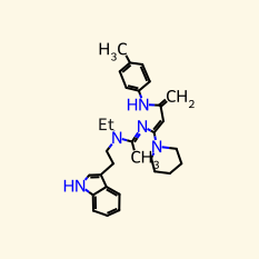 C=C(/C=C(\N=C(/C)N(CC)CCc1c[nH]c2ccccc12)N1CCCCC1)Nc1ccc(C)cc1